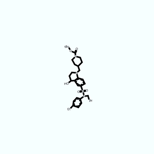 CCc1ccc(N(CC(C)C)S(=O)(=O)c2ccc3c(c2)C(O)CCN3CC2CCN(C(=O)OC(C)(C)C)CC2)cc1